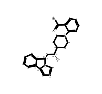 CCC(=O)c1ccccc1N1CCC([C@H](O)C[C@@H]2c3ccccc3-c3cncn32)CC1